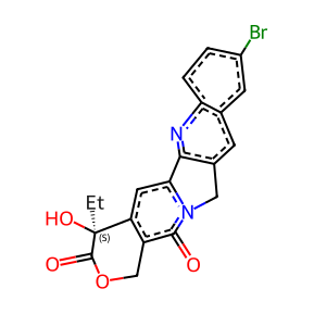 CC[C@@]1(O)C(=O)OCc2c1cc1n(c2=O)Cc2cc3cc(Br)ccc3nc2-1